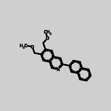 COCc1cc2cnc(-c3ccc4ccccc4c3)cc2cc1COC